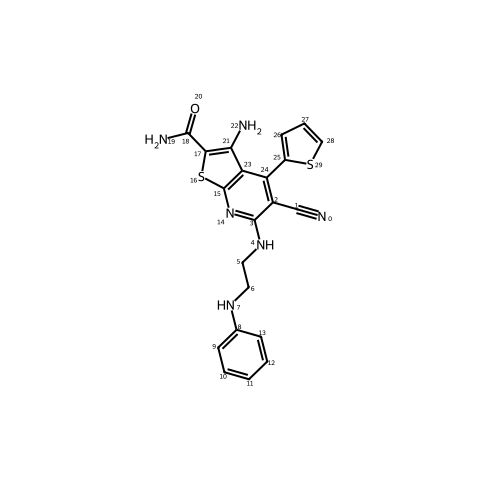 N#Cc1c(NCCNc2ccccc2)nc2sc(C(N)=O)c(N)c2c1-c1cccs1